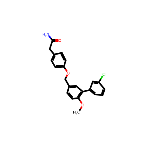 COc1ccc(COc2ccc(CC(N)=O)cc2)cc1-c1cccc(Cl)c1